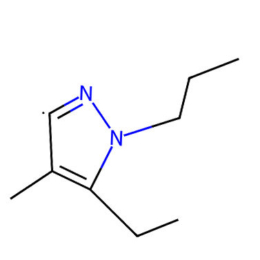 CCCn1n[c]c(C)c1CC